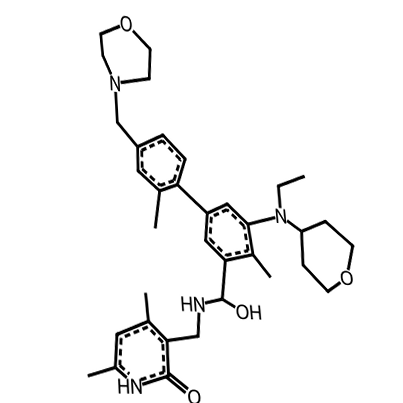 CCN(c1cc(-c2ccc(CN3CCOCC3)cc2C)cc(C(O)NCc2c(C)cc(C)[nH]c2=O)c1C)C1CCOCC1